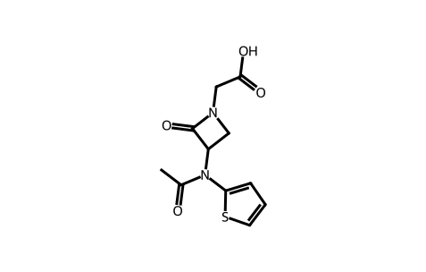 CC(=O)N(c1cccs1)C1CN(CC(=O)O)C1=O